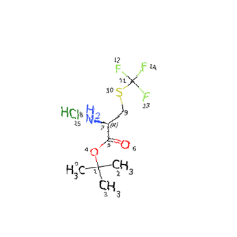 CC(C)(C)OC(=O)[C@@H](N)CSC(F)(F)F.Cl